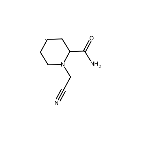 N#CCN1CC[CH]CC1C(N)=O